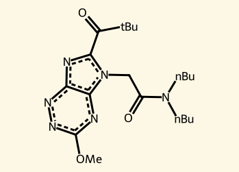 CCCCN(CCCC)C(=O)Cn1c(C(=O)C(C)(C)C)nc2nnc(OC)nc21